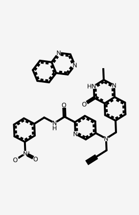 C#CCN(Cc1ccc2nc(C)[nH]c(=O)c2c1)c1ccc(C(=O)NCc2cccc([N+](=O)[O-])c2)nc1.c1ccc2ncncc2c1